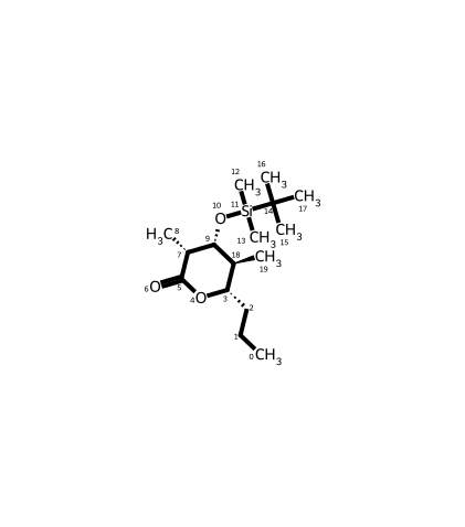 CCC[C@@H]1OC(=O)[C@H](C)[C@H](O[Si](C)(C)C(C)(C)C)[C@H]1C